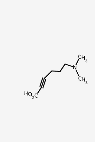 CN(C)CCCC#CC(=O)O